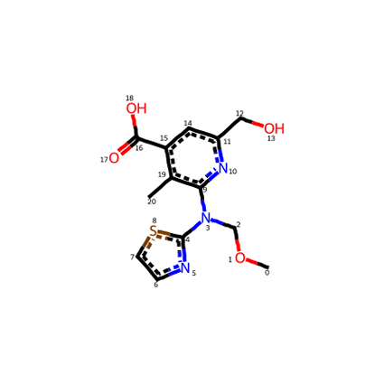 COCN(c1nccs1)c1nc(CO)cc(C(=O)O)c1C